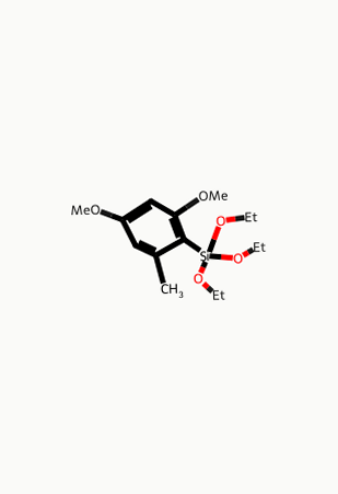 CCO[Si](OCC)(OCC)c1c(C)cc(OC)cc1OC